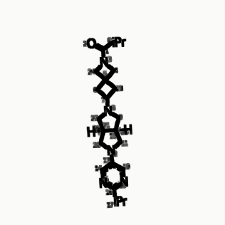 CC(C)C(=O)N1CC2(CC(N3C[C@H]4CN(c5cnc(C(C)C)nc5)C[C@H]4C3)C2)C1